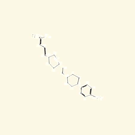 CCCc1ccc([C@H]2CC[C@H](CC[C@H]3CC[C@H](C=CC=C(F)C#N)CC3)CC2)cc1